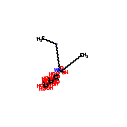 CCCCCCCC/C=C\CCCCCCCCCCCCCC(=O)N[C@@H](CO[C@@H]1OC(CO)[C@@H](O[C@@H]2OC(CO)[C@H](O)[C@H](O[C@H]3OC(CO)[C@H](O)[C@H](O)C3O)C2O)[C@H](O)C1O)[C@H](O)/C=C/CCCCCCCCCCCCC